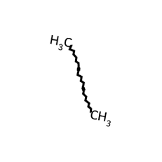 CCCCCCCCC#CCCCCC#CCCCCCCCC